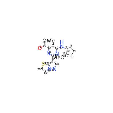 COC(=O)c1cc(N[C@H]2CCC[C@@H]2OC)nc(-c2cnn3ccsc23)n1